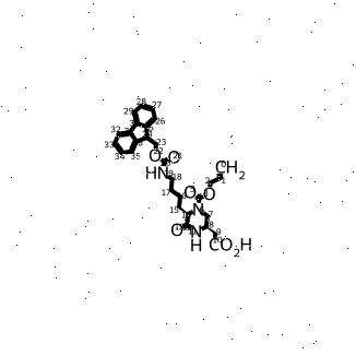 C=CCOC(=O)N1C[C@@H](CC(=O)O)NC(=O)[C@H]1CCCCNC(=O)OCC1c2ccccc2-c2ccccc21